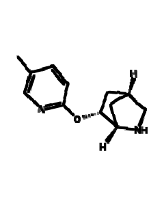 Cc1ccc(O[C@@H]2C[C@@H]3CN[C@H]2C3)nc1